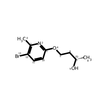 Cc1nc(OCC[C@H](C)O)ccc1Br